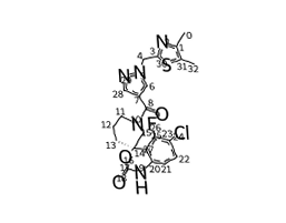 Cc1nc(Cn2cc(C(=O)N3CCC[C@@]4(C3)OC(=O)Nc3ccc(Cl)c(F)c34)cn2)sc1C